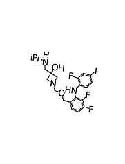 CC(C)NCC1(O)CN(COCc2ccc(F)c(F)c2Nc2ccc(I)cc2F)C1